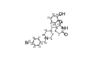 O=C1CCC(CC2CCN(Cc3ccc(Br)cc3)CC2)(c2cccc(O)c2)C(=O)N1